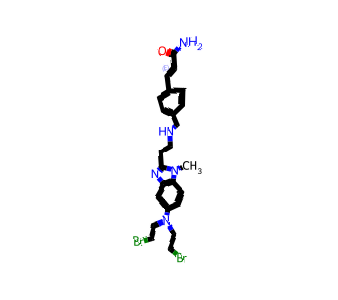 Cn1c(CCNCc2ccc(/C=C/C(N)=O)cc2)nc2cc(N(CCBr)CCBr)ccc21